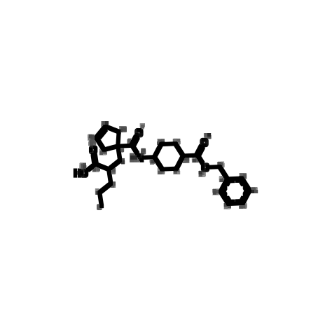 CCCC(CC1(C(=O)NC2CCC(C(=O)OCc3ccccc3)CC2)CC=CC1)C(=O)O